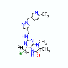 [2H]C([2H])(Br)c1nc(NCc2cnn(Cc3ccc(C(F)(F)F)nc3)c2)nc2c1NC(=O)[C@H](C)N2C